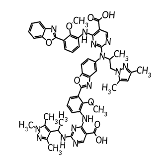 COc1c(Nc2nc(NC(C)c3c(C)nn(C)c3C)ncc2C(=O)O)cccc1-c1nc2cc(N(c3ncc(C(=O)O)c(Nc4cccc(-c5nc6ccccc6o5)c4OC)n3)C(C)Cn3nc(C)cc3C)ccc2o1